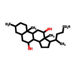 CC1CCC2(C)C(C1)CC(O)C1C2CC(O)C2(C)C(C(C)CCC(=O)O)CCC12